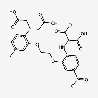 Cc1ccc(N(CC(=O)O)CC(=O)O)c(OCCOc2cc([N+](=O)[O-])ccc2NC(C(=O)O)C(=O)O)c1